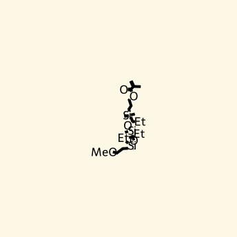 C=C(C)C(=O)OCCC[Si](C)(C)C(CC)O[Si](C)(C)C(CC)(CC)O[Si](C)(C)CCCOC